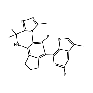 Cc1c[nH]c2c(-c3c(F)c4c(c5c3CCC5)NC(C)(C)c3nnc(C)n3-4)cc(F)cc12